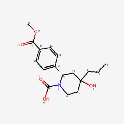 CCCC1(O)CCN(C(=O)O)[C@H](c2ccc(C(=O)OC)cc2)C1